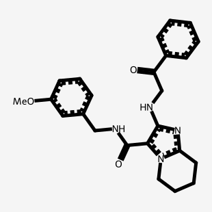 COc1cccc(CNC(=O)c2c(NCC(=O)c3ccccc3)nc3n2CCCC3)c1